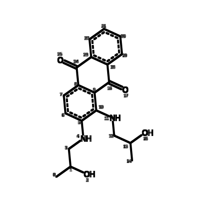 CC(O)CNc1ccc2c(c1NCC(C)O)C(=O)c1ccccc1C2=O